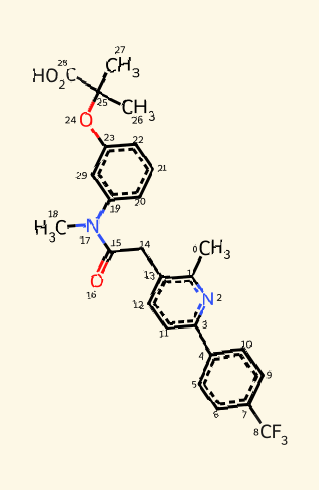 Cc1nc(-c2ccc(C(F)(F)F)cc2)ccc1CC(=O)N(C)c1cccc(OC(C)(C)C(=O)O)c1